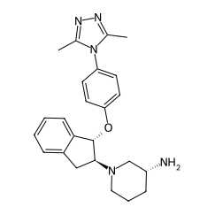 Cc1nnc(C)n1-c1ccc(O[C@H]2c3ccccc3C[C@@H]2N2CCC[C@@H](N)C2)cc1